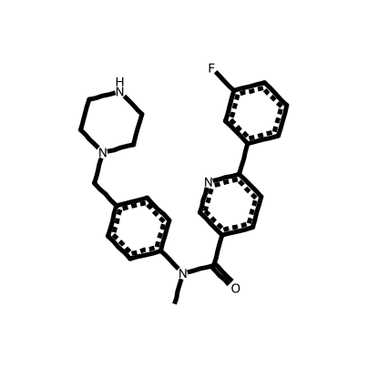 CN(C(=O)c1ccc(-c2cccc(F)c2)nc1)c1ccc(CN2CCNCC2)cc1